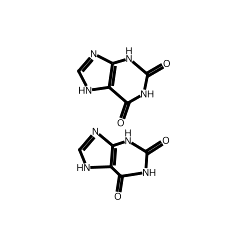 O=c1[nH]c(=O)c2[nH]cnc2[nH]1.O=c1[nH]c(=O)c2[nH]cnc2[nH]1